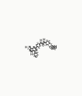 CS(=O)(=O)NC(=O)Cc1ccc(NC(=O)Nc2ccc(-c3nc(N4CCOCC4)c4[nH]nc(N)c4n3)cc2)cc1